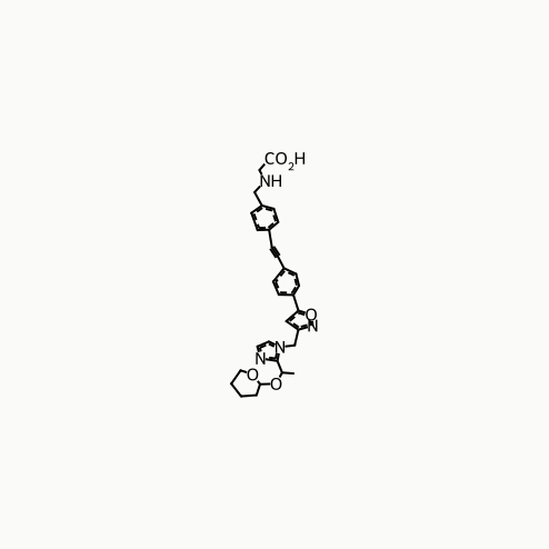 CC(OC1CCCCO1)c1nccn1Cc1cc(-c2ccc(C#Cc3ccc(CNCC(=O)O)cc3)cc2)on1